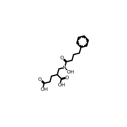 O=C(O)CCC(CN(O)C(=O)CCCc1ccccc1)C(=O)O